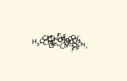 Cc1ccc(C[C@@H](C(=O)OC(C)(C)C)N2CCCC(CCC(=O)[C@@H]3CC(C(C)(C)C)CCC[C@H]3c3ccc(F)c(F)c3F)CC2)c(F)c1F